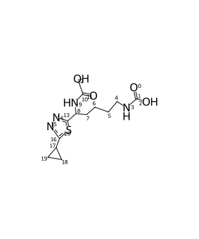 O=C(O)NCCCCC(NC(=O)O)c1nnc(C2CC2)s1